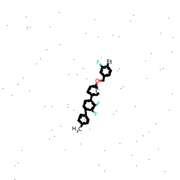 CCc1ccc(COc2ccc(-c3ccc(-c4ccc(C)cc4)c(F)c3F)cc2)cc1F